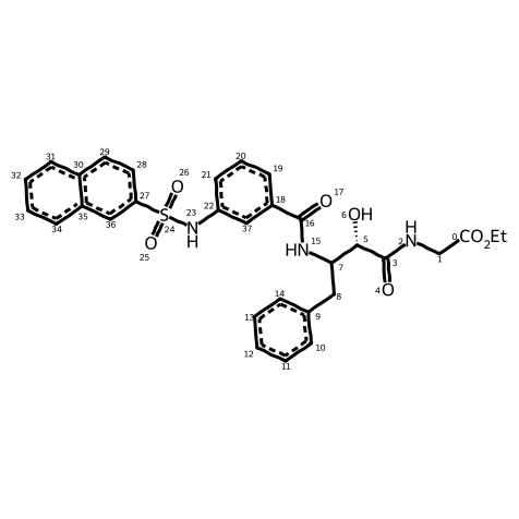 CCOC(=O)CNC(=O)[C@@H](O)C(Cc1ccccc1)NC(=O)c1cccc(NS(=O)(=O)c2ccc3ccccc3c2)c1